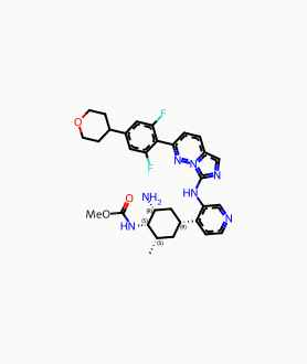 COC(=O)N[C@@H]1[C@H](N)C[C@H](c2ccncc2Nc2ncc3ccc(-c4c(F)cc(C5CCOCC5)cc4F)nn23)C[C@@H]1C